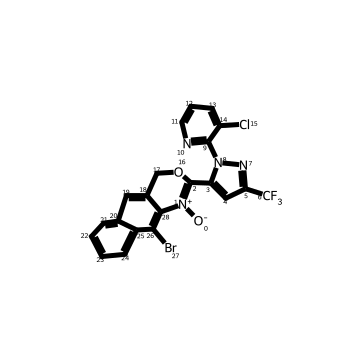 [O-][N+]1=C(c2cc(C(F)(F)F)nn2-c2ncccc2Cl)OCc2cc3ccccc3c(Br)c21